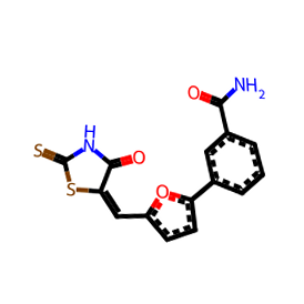 NC(=O)c1cccc(-c2ccc(C=C3SC(=S)NC3=O)o2)c1